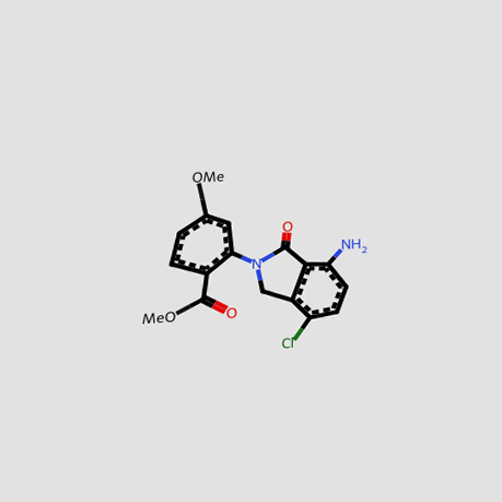 COC(=O)c1ccc(OC)cc1N1Cc2c(Cl)ccc(N)c2C1=O